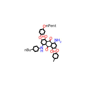 CCCCCOc1ccc(Oc2cc(Nc3ccc(CCCC)cc3)c3c(c2O)C(=O)c2c(N)cc(Oc4ccc(C)cc4)c(O)c2C3=O)cc1